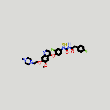 COc1cc2c(Oc3ccc(N(S)C(=O)NC(=O)Cc4ccc(F)cc4)cc3F)ccnc2cc1OCCN1CCN(C)CC1